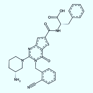 N#Cc1ccccc1Cn1c(N2CCC[C@@H](N)C2)nc2cc(C(=O)N[C@@H](Cc3ccccc3)C(=O)O)sc2c1=O